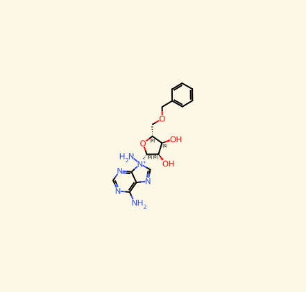 Nc1ncnc2c1N=C[N+]2(N)[C@@H]1O[C@H](COCc2ccccc2)[C@@H](O)[C@H]1O